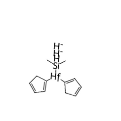 C[SiH](C)[Hf]([C]1=CC=CC1)[C]1=CC=CC1.[H-].[H-]